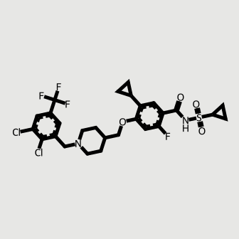 O=C(NS(=O)(=O)C1CC1)c1cc(C2CC2)c(OCC2CCN(Cc3cc(C(F)(F)F)cc(Cl)c3Cl)CC2)cc1F